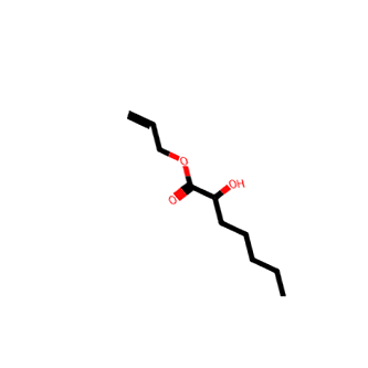 C=CCOC(=O)C(O)CCCCC